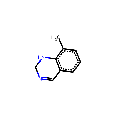 Cc1cccc2c1NCN=C2